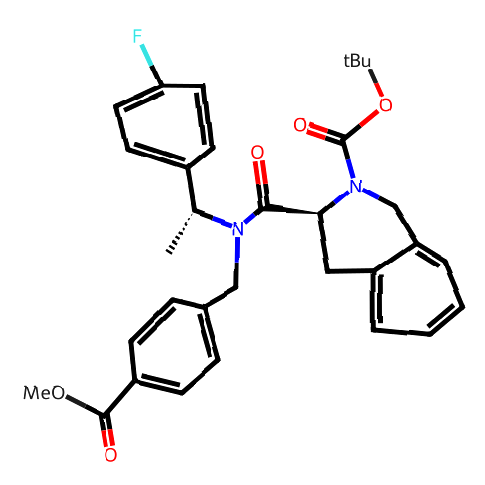 COC(=O)c1ccc(CN(C(=O)[C@@H]2Cc3ccccc3CN2C(=O)OC(C)(C)C)[C@H](C)c2ccc(F)cc2)cc1